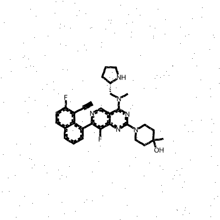 C#Cc1c(F)ccc2cccc(-c3ncc4c(N(C)C[C@@H]5CCCN5)nc(N5CCC(C)(O)CC5)nc4c3F)c12